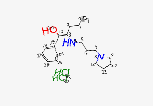 CC(C)CCC(NCCCN1CCCC1)C(O)c1ccccc1.Cl.Cl